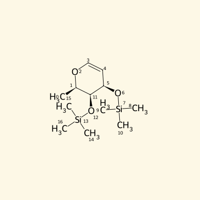 C[C@H]1OC=C[C@@H](O[Si](C)(C)C)[C@H]1O[Si](C)(C)C